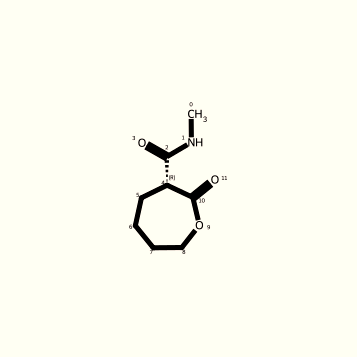 CNC(=O)[C@H]1CCCCOC1=O